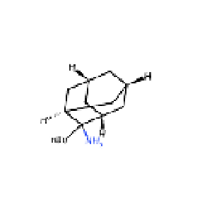 CCCCC1(N)[C@H]2C[C@H]3C[C@H](C2)C[C@H]1C3